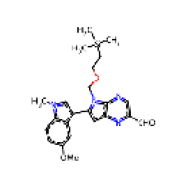 COc1ccc2c(c1)c(-c1cc3nc(C=O)cnc3n1COCC[Si](C)(C)C)cn2C